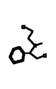 CN(CCCl)C(CCl)c1ccccc1